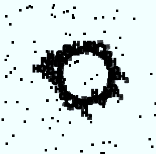 CC(C)[C@H]1C(=O)NC[C@@H](N)C(=O)N2CCCC[C@H]2C(=O)NCC(=O)N(C)CC(=O)N(C)C2(CC2)C(=O)NC[C@@H](N)C(=O)N2CCCC[C@H]2C(=O)NCC(=O)N(C)CC(=O)N1C.O=C(O)C(F)(F)F